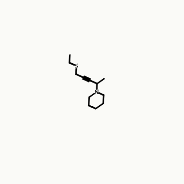 CCSCC#CC(C)N1CCCCC1